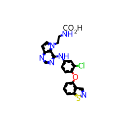 O=C(O)NCCn1ccc2ncnc(Nc3ccc(Oc4cccc5sncc45)c(Cl)c3)c21